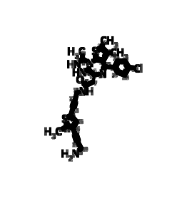 CC(=N)N1C(=N)[C@H](CC(=O)NCC#Cc2cc(C#CCN)c(C)s2)N=C(c2ccc(Cl)cc2)c2c1sc(C)c2C